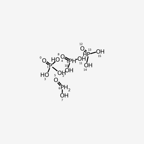 O=P(O)(O)O.O=[PH2]O.O=[PH](O)O.O=[PH](O)O